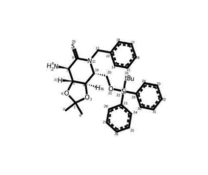 CC1(C)O[C@H]2[C@H](O1)[C@@H](N)C(=S)N(Cc1ccccc1)[C@@H]2CO[Si](c1ccccc1)(c1ccccc1)C(C)(C)C